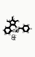 CC1=C(C)C(C)C(c2cccc[c]2[Ti+2][O]Cc2ccccc2)=C1C.[Cl-].[Cl-]